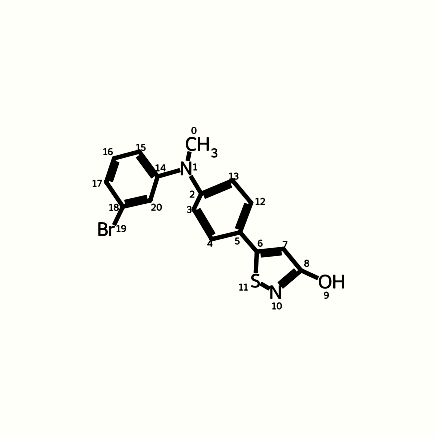 CN(c1ccc(-c2cc(O)ns2)cc1)c1cccc(Br)c1